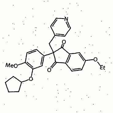 CCOc1ccc2c(c1)C(=O)C(Cc1ccncc1)(c1ccc(OC)c(OC3CCCC3)c1)C2=O